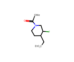 CCOC(=O)CC1CCN(C(=O)OC)CC1F